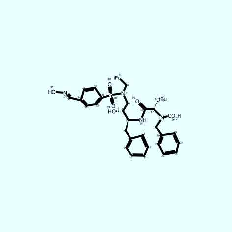 CC(C)CN(C[C@@H](O)[C@H](Cc1ccccc1)NC(=O)[C@@H](N(Cc1ccccc1)C(=O)O)C(C)(C)C)S(=O)(=O)c1ccc(C=NO)cc1